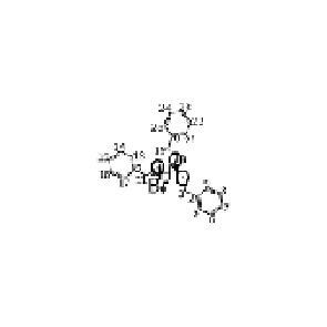 [Br][Hf]([O]Cc1ccccc1)([O]Cc1ccccc1)[O]Cc1ccccc1